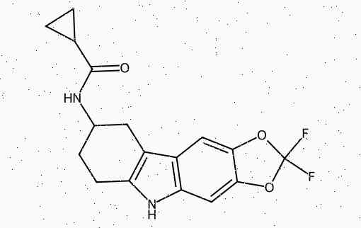 O=C(NC1CCc2[nH]c3cc4c(cc3c2C1)OC(F)(F)O4)C1CC1